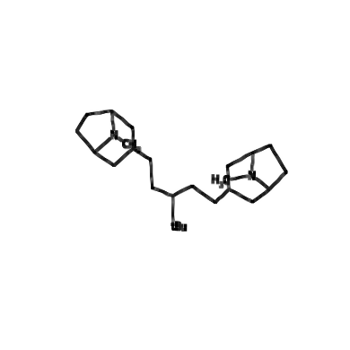 CN1C2CCC1CC(CCC(CCC1CC3CCC(C1)N3C)C(C)(C)C)C2